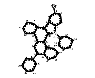 Brc1ccc2c(c1)c1c3ccccc3c3cc(-c4ccccc4)c4ccccc4c3c1n2-c1ccccc1